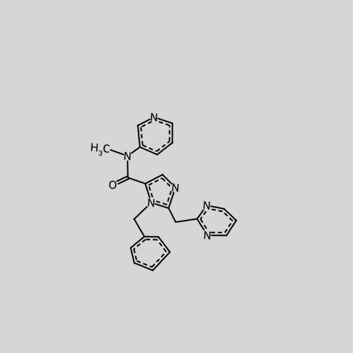 CN(C(=O)c1cnc(Cc2ncccn2)n1Cc1ccccc1)c1cccnc1